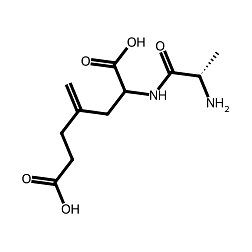 C=C(CCC(=O)O)CC(NC(=O)[C@H](C)N)C(=O)O